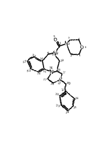 O=C(N1CCOCC1)N1Cc2ccccc2N2CCN(Cc3ccccc3)CC2C1